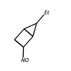 CCC1C2CC(N=O)C12